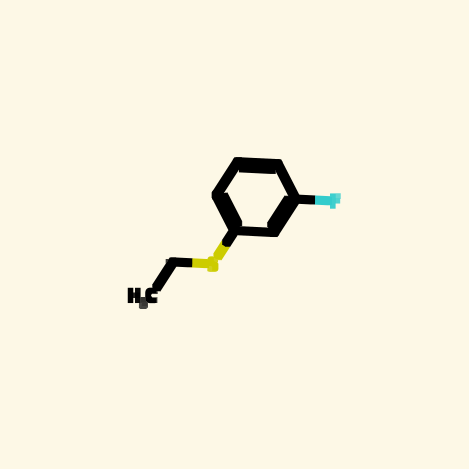 C[CH]Sc1cccc(F)c1